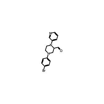 O=CC1CN(c2ccc(Br)cc2)CCN1c1cccnc1